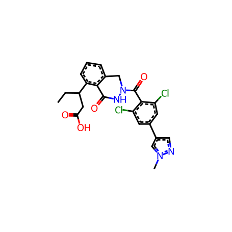 CCC(CC(=O)O)c1cccc2c1C(=O)NN(C(=O)c1c(Cl)cc(-c3cnn(C)c3)cc1Cl)C2